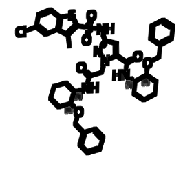 Cc1c(S(=O)(=O)Nc2cc(C(=O)N[C@H]3CCCC[C@@H]3OCc3ccccc3)n(CC(=O)N[C@H]3CCCC[C@@H]3OCc3ccccc3)n2)sc2ccc(Cl)cc12